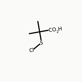 CC(C)(SCl)C(=O)O